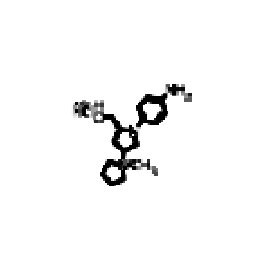 C[N+]1(C2CC(CO)N(c3ccc(N)cc3)C2)CCCC1.Cl.[Cl-]